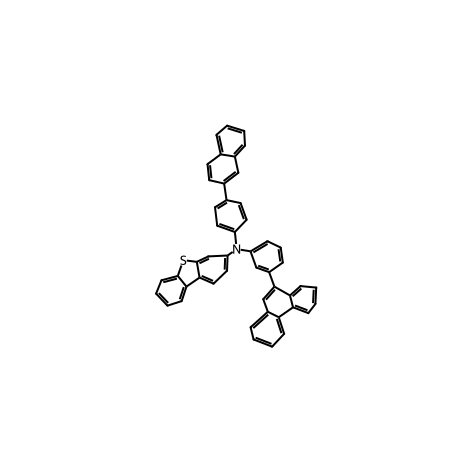 c1cc(-c2cc3ccccc3c3ccccc23)cc(N(c2ccc(-c3ccc4ccccc4c3)cc2)c2ccc3c(c2)sc2ccccc23)c1